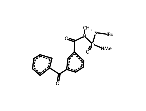 CCC(C)SP(=O)(NC)N(C)C(=O)c1cccc(C(=O)c2ccccc2)c1